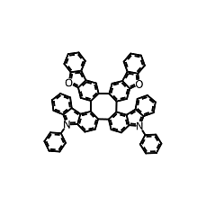 c1ccc(-n2c3ccccc3c3c4c(ccc32)-c2ccc3c(c2-c2cc5oc6ccccc6c5cc2-c2cc5c(cc2-4)oc2ccccc25)c2ccccc2n3-c2ccccc2)cc1